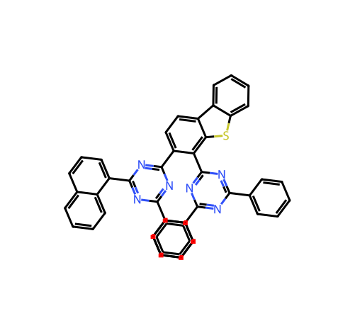 c1ccc(-c2nc(-c3ccc4c(sc5ccccc54)c3-c3nc(-c4ccccc4)nc(-c4ccccc4)n3)nc(-c3cccc4ccccc34)n2)cc1